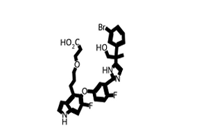 CC(CO)(c1cccc(Br)c1)c1cnc(-c2cc(Oc3c(F)cc4[nH]ccc4c3CCCOCCC(=O)O)ccc2F)[nH]1